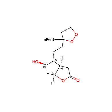 CCCCCC1(CC[C@@H]2[C@H]3CC(=O)O[C@H]3C[C@H]2O)CCOO1